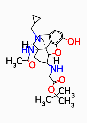 CC(=O)N[C@@]12CC[C@H](NCC(=O)OC(C)(C)C)[C@@H]3Oc4c(O)ccc5c4[C@@]31CCN(CC1CC1)[C@@H]2C5